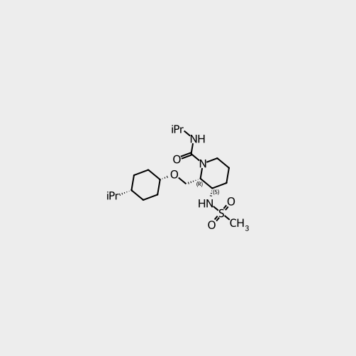 CC(C)NC(=O)N1CCC[C@H](NS(C)(=O)=O)[C@@H]1CO[C@H]1CC[C@@H](C(C)C)CC1